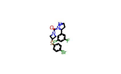 O=C(N1CC(Sc2ccc(Br)cc2)C1)N1N=CCC1c1cc(F)cc(F)c1